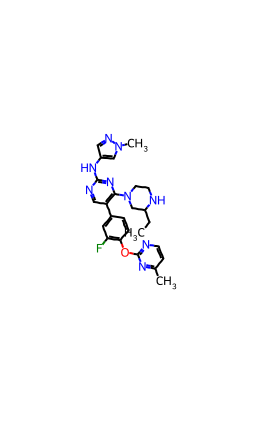 CCC1CN(c2nc(Nc3cnn(C)c3)ncc2-c2ccc(Oc3nccc(C)n3)c(F)c2)CCN1